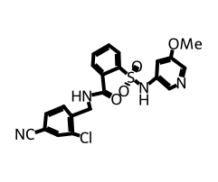 COc1cncc(NS(=O)(=O)c2ccccc2C(=O)NCc2ccc(C#N)cc2Cl)c1